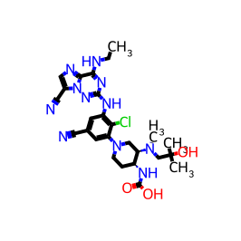 CCNc1nc(Nc2cc(C#N)cc(N3CC[C@@H](NC(=O)O)[C@H](N(C)CC(C)(C)O)C3)c2Cl)nn2c(C#N)cnc12